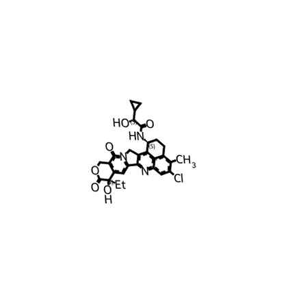 CC[C@@]1(O)C(=O)OCc2c1cc1n(c2=O)Cc2c-1nc1cc(Cl)c(C)c3c1c2[C@@H](NC(=O)[C@@H](O)C1CC1)CC3